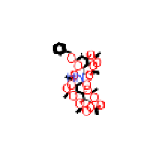 CC(=O)OC[C@H](OC(C)=O)[C@@H](OC(C)=O)[C@H](OC(C)=O)[C@H](OC(C)=O)C(=O)NC[C@H]1O[C@H](OCc2ccccc2)[CH][C@@H](OC(C)=O)[C@@H]1OC(C)=O